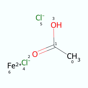 CC(=O)O.[Cl-].[Cl-].[Fe+2]